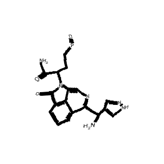 NC(=O)C(CCP=O)N1C(=O)c2cccc3c(C(N)c4cn[nH]c4)ncc1c23